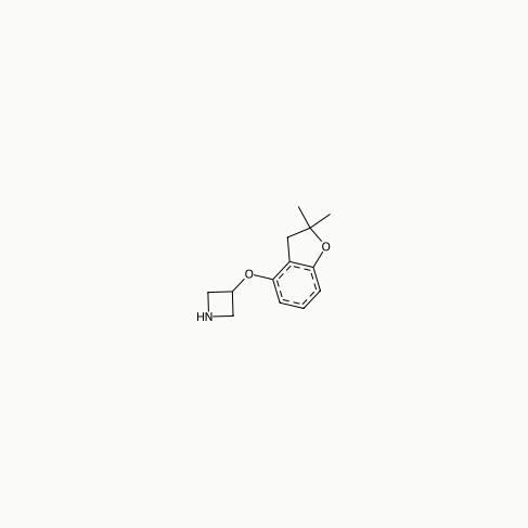 CC1(C)Cc2c(OC3CNC3)cccc2O1